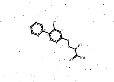 O=C(O)C(Cl)CCc1ccc(-c2ccccc2)c(I)c1